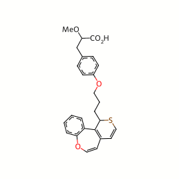 COC(Cc1ccc(OCCCC2SC=CC3=C2c2ccccc2OC=C3)cc1)C(=O)O